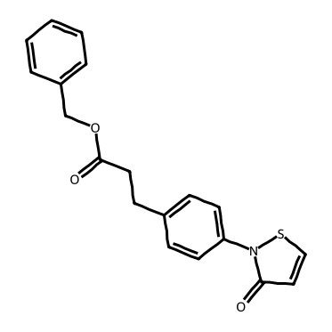 O=C(CCc1ccc(-n2sccc2=O)cc1)OCc1ccccc1